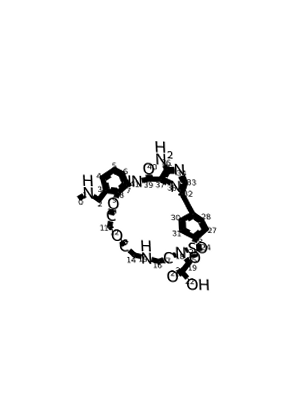 CNCc1cccc2c1OCCOCCNCCN(CC(=O)O)S(=O)(=O)c1ccc(cc1)-c1cnc(N)c(n1)C(=O)N2